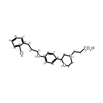 O=C(O)CCN1CCOC(c2ccc(OCCCc3ccccc3Cl)cc2)C1